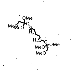 COCC(OC)(OC)O[SiH2]CCC[SiH2]OC(COC)(OC)OC